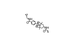 C=CC(=O)NC1CC(C)(C)N(S(=O)(=O)c2ccc(C(=O)NCC3CC3)cc2)C(C)(C)C1